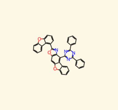 c1ccc(-c2nc(-c3ccccc3)nc(-c3c4nc(-c5cccc6oc7ccccc7c56)oc4cc4oc5ccccc5c34)n2)cc1